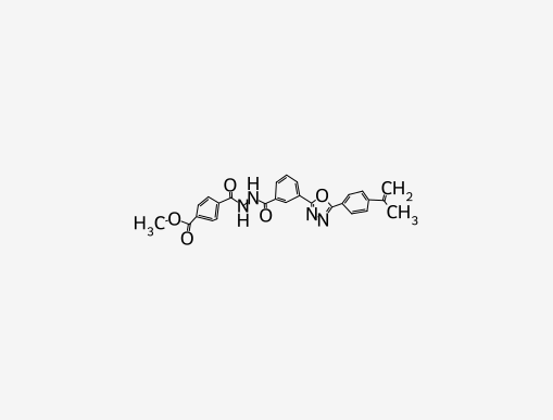 C=C(C)c1ccc(-c2nnc(-c3cccc(C(=O)NNC(=O)c4ccc(C(=O)OC)cc4)c3)o2)cc1